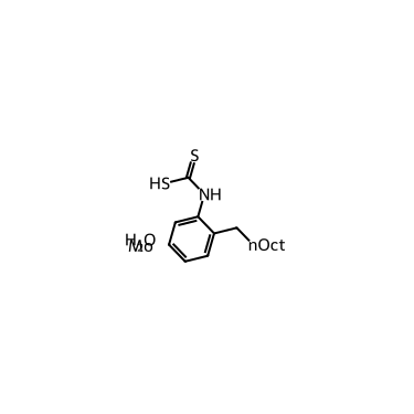 CCCCCCCCCc1ccccc1NC(=S)S.O.[Mo]